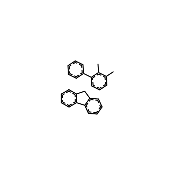 Cc1cccc(-c2ccccc2)c1C.c1ccc2c(c1)Cc1ccccc1-2